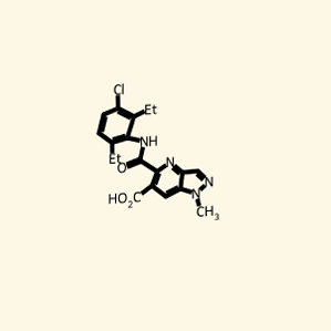 CCc1ccc(Cl)c(CC)c1NC(=O)c1nc2cnn(C)c2cc1C(=O)O